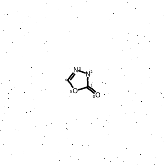 O=C1[N]N=[C]O1